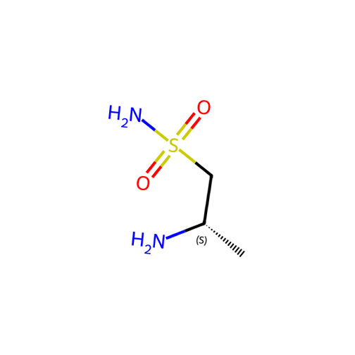 C[C@H](N)CS(N)(=O)=O